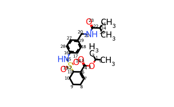 CC(C)OC(=O)C1=CCCCC1S(=O)(=O)Nc1ccc(CNC(=O)C(C)C)cc1